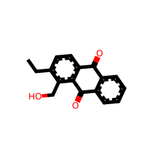 CCc1ccc2c(c1CO)C(=O)c1ccccc1C2=O